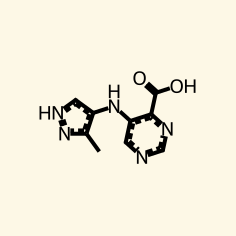 Cc1n[nH]cc1Nc1cncnc1C(=O)O